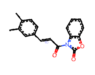 Cc1ccc(/C=C/C(=O)n2c(=O)oc3ccccc32)cc1C